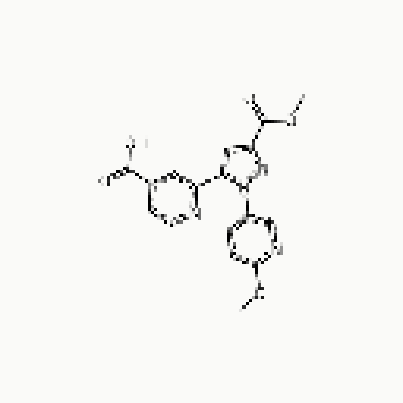 COC(=O)c1cc(-c2cc(C(=O)O)ccn2)n(-c2ccc(OC)nn2)n1